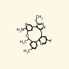 CCn1nnc2c1-c1cnc(N)c(c1)OC(C)c1cc(C)ccc1-c1ncc(F)cc1C2